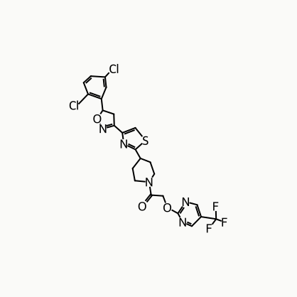 O=C(COc1ncc(C(F)(F)F)cn1)N1CCC(c2nc(C3=NOC(c4cc(Cl)ccc4Cl)C3)cs2)CC1